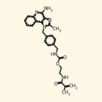 C=C(C)C(=O)NCCOC(=O)NCc1ccc(Cn2c(C)nc3c(N)nc4ccccc4c32)cc1